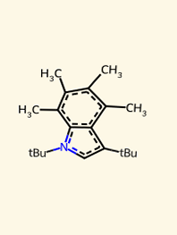 Cc1c(C)c(C)c2c(c(C(C)(C)C)cn2C(C)(C)C)c1C